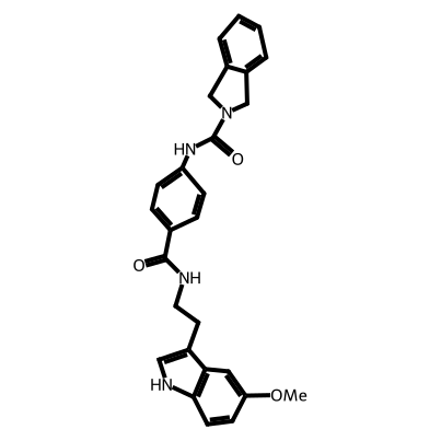 COc1ccc2[nH]cc(CCNC(=O)c3ccc(NC(=O)N4Cc5ccccc5C4)cc3)c2c1